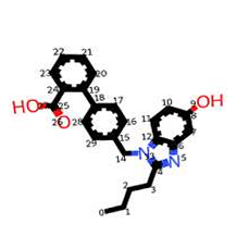 CCCCc1nc2cc(O)ccc2n1Cc1ccc(-c2ccccc2C(=O)O)cc1